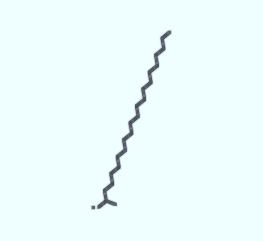 [CH2]C(C)CCCCCCCCCCCCCCCCCCCC